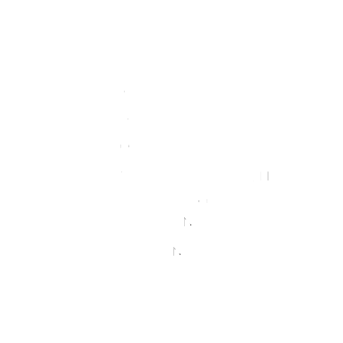 CC(O)Cc1cn[nH]c1.Cc1c(C(=O)O)cccc1C(=O)O